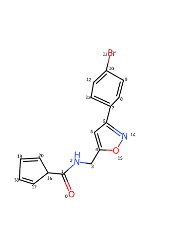 O=C(NCc1cc(-c2ccc(Br)cc2)no1)C1C=CC=C1